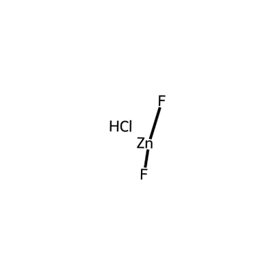 Cl.[F][Zn][F]